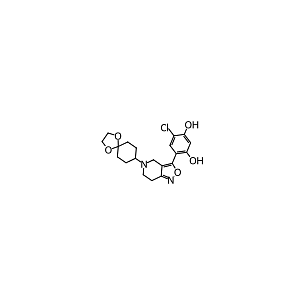 Oc1cc(O)c(-c2onc3c2CN(C2CCC4(CC2)OCCO4)CC3)cc1Cl